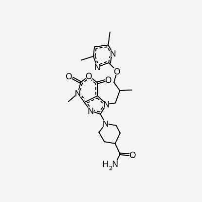 Cc1cc(C)nc(OCC(C)Cn2c(N3CCC(C(N)=O)CC3)nc3c2c(=O)oc(=O)n3C)n1